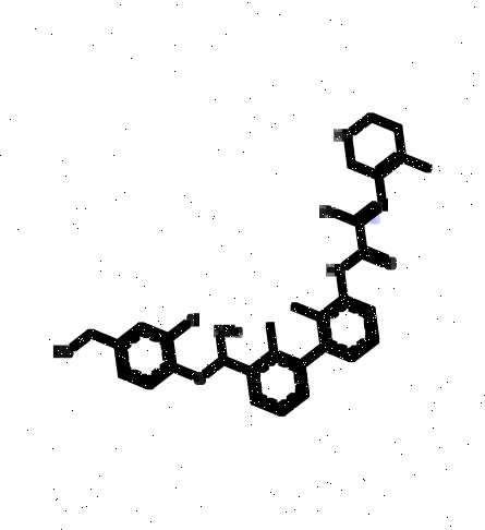 CNC(Oc1ccc(CO)cc1Cl)c1cccc(-c2cccc(NC(=O)/C(=N/C3=C(C)CCNC3)C(C)C)c2C)c1C